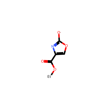 CCOC(=O)c1coc([O])n1